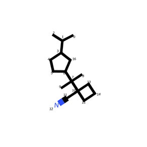 CC(C)C1CCC(C(C)(C)C2(C#N)CCC2)C1